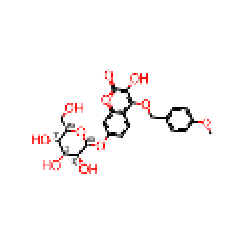 COc1ccc(COc2c(O)c(=O)oc3cc(O[C@@H]4O[C@H](CO)[C@@H](O)[C@H](O)[C@@H]4O)ccc23)cc1